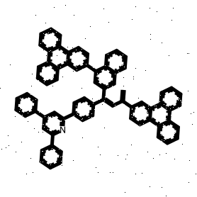 C=C(/C=C(/c1ccc(-c2cc(-c3ccccc3)cc(-c3ccccc3)n2)cc1)c1cc(-c2ccc3c4ccccc4c4ccccc4c3c2)c2ccccc2c1)c1ccc2c3ccccc3c3ccccc3c2c1